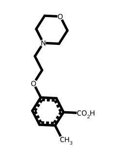 Cc1ccc(OCCN2CCOCC2)cc1C(=O)O